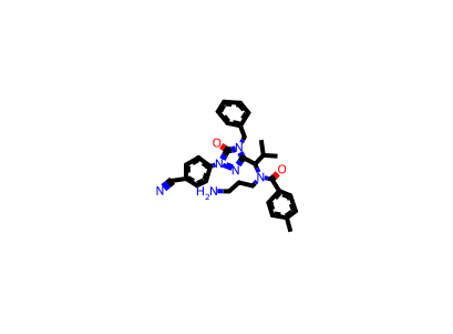 Cc1ccc(C(=O)N(CCCN)C(c2nn(-c3ccc(C#N)cc3)c(=O)n2Cc2ccccc2)C(C)C)cc1